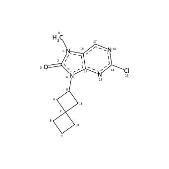 Cn1c(=O)n(C2CC3(CCC3)C2)c2nc(Cl)ncc21